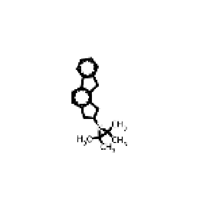 CC1(C)N(C2Cc3ccc4c(c3C2)Cc2ccccc2-4)C1(C)C